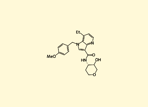 CCc1ccnc2c(C(=O)N[C@H]3CCOCC3O)cn(Cc3ccc(OC)cc3)c12